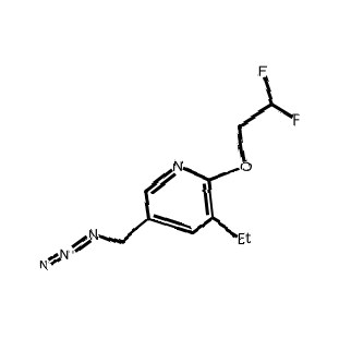 CCc1cc(CN=[N+]=[N-])cnc1OCC(F)F